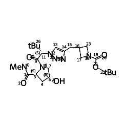 CNC(=O)[C@@H]1C[C@@H](O)CN1C(=O)[C@@H](n1cc(CC2CN(C(=O)OC(C)(C)C)C2)nn1)C(C)(C)C